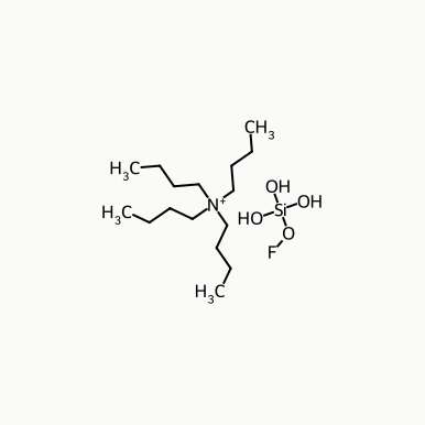 CCCC[N+](CCCC)(CCCC)CCCC.O[Si](O)(O)OF